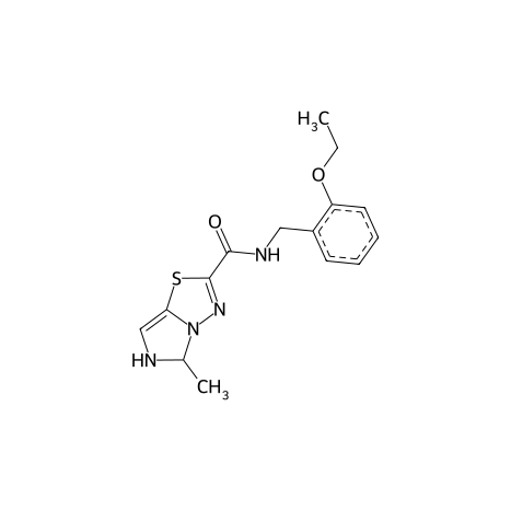 CCOc1ccccc1CNC(=O)C1=NN2C(=CNC2C)S1